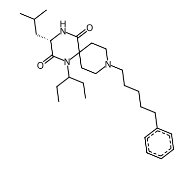 CCC(CC)N1C(=O)[C@H](CC(C)C)NC(=O)C12CCN(CCCCCc1ccccc1)CC2